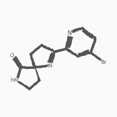 O=C1NCC[C@]12CCC(c1cc(Br)ccn1)=N2